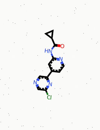 O=C(Nc1cc(-c2cncc(Cl)n2)ccn1)C1CC1